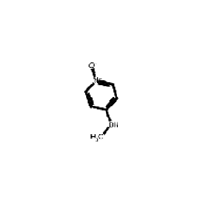 CBc1cc[n+]([O-])cc1